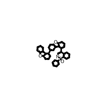 O=S1(c2ccccc2)=NC=C(c2cccc3oc4ccc(-c5cccc6oc7ccccc7c56)cc4c23)c2ccccc21